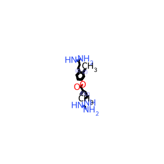 C/C=c1/cc(OC(=O)C(/C=C\CNC(=N)N)=C/C)cc/c1=C/CC(=N)N